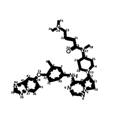 Cc1cc(Nc2ncnn3ccc(N4CCC(N(C)C(=O)/C=C/CN(C)C)CC4)c23)ccc1Oc1ccn2ncnc2c1